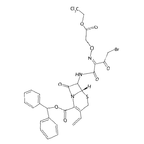 C=CC1=C(C(=O)OC(c2ccccc2)c2ccccc2)N2C(=O)C(NC(=O)C(=NOCC(=O)OCC(Cl)(Cl)Cl)C(=O)CBr)[C@@H]2SC1